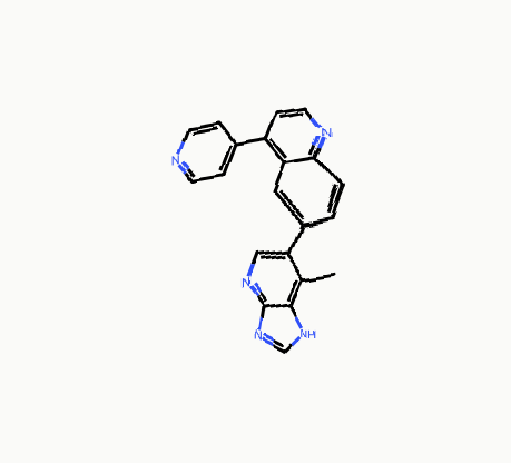 Cc1c(-c2ccc3nccc(-c4ccncc4)c3c2)cnc2nc[nH]c12